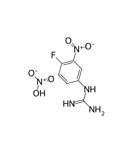 N=C(N)Nc1ccc(F)c([N+](=O)[O-])c1.O=[N+]([O-])O